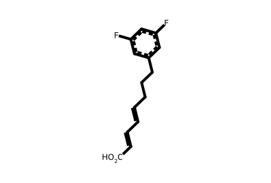 O=C(O)C=CC=CCCCc1cc(F)cc(F)c1